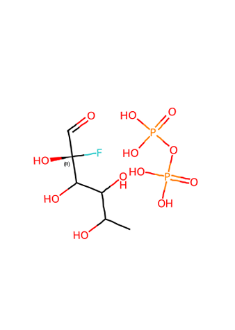 CC(O)C(O)C(O)[C@@](O)(F)C=O.O=P(O)(O)OP(=O)(O)O